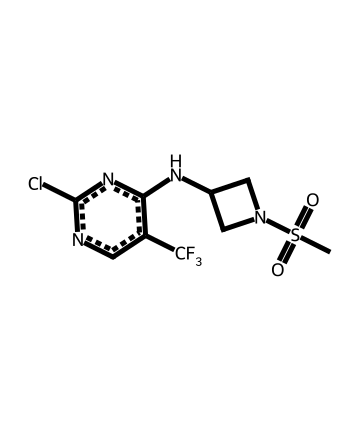 CS(=O)(=O)N1CC(Nc2nc(Cl)ncc2C(F)(F)F)C1